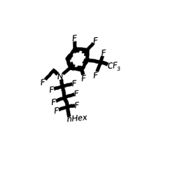 CCCCCCC(F)(F)C(F)(F)C(F)(F)N(CF)c1cc(F)c(F)c(C(F)(F)C(F)(F)F)c1F